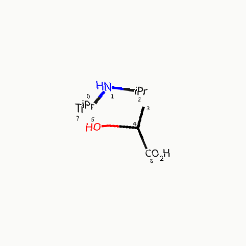 CC(C)NC(C)C.CC(O)C(=O)O.[Ti]